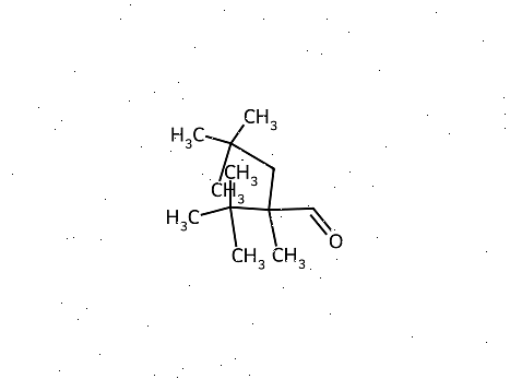 CC(C)(C)CC(C)(C=O)C(C)(C)C